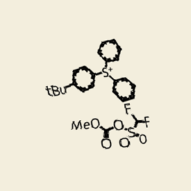 CC(C)(C)c1ccc([S+](c2ccccc2)c2ccccc2)cc1.COC(=O)OS(=O)(=O)C(F)F